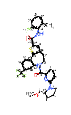 COC[C@H]1CCCN1c1cccc(C(=O)N2CCc3cc(C(=O)Nc4c(C)cccc4F)sc3-c3ccc(C(F)(F)F)cc32)n1